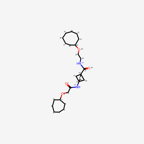 O=C(COC1CCCCCC1)NC12CC(C(=O)NCCOC3CCCCCCC3)(C1)C2